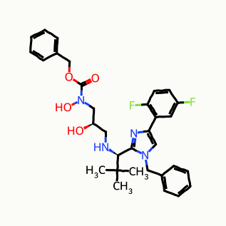 CC(C)(C)[C@@H](NC[C@@H](O)CN(O)C(=O)OCc1ccccc1)c1nc(-c2cc(F)ccc2F)cn1Cc1ccccc1